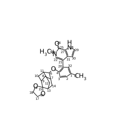 Cc1ccc(OC2C3CC4CC2CC(C3)C42OCCO2)c(-c2cn(C)c(=O)c3[nH]ccc23)c1